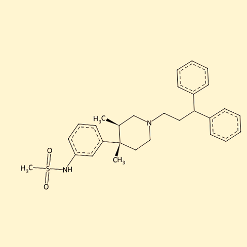 C[C@H]1CN(CCC(c2ccccc2)c2ccccc2)CC[C@]1(C)c1cccc(NS(C)(=O)=O)c1